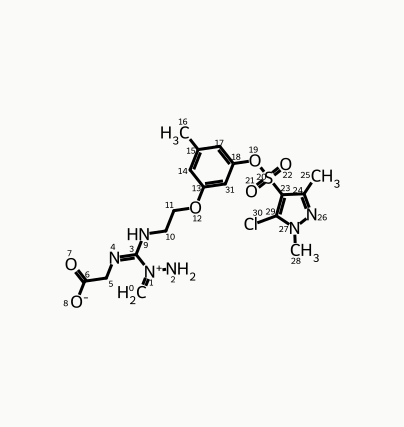 C=[N+](N)C(=NCC(=O)[O-])NCCOc1cc(C)cc(OS(=O)(=O)c2c(C)nn(C)c2Cl)c1